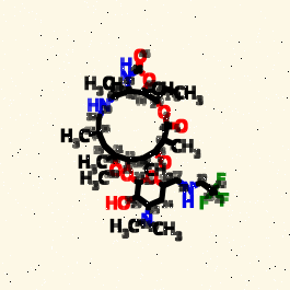 CC[C@H]1OC(=O)C(C)C(=O)[C@H](C)[C@@H](OC2OC(CNCC(F)(F)F)CC(N(C)C)C2O)[C@](C)(OC)C[C@@H](C)CN[C@H](C)[C@H]2NC(=O)O[C@@]21C